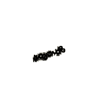 O=C1OCc2cc(CCN3CCN(C(=O)Cc4ccc(-n5cncn5)cc4Br)CC3)ccc21